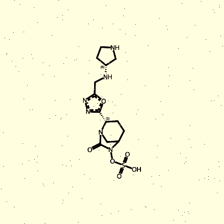 O=C1N(OS(=O)(=O)O)C2CC[C@@H](c3nnc(CN[C@@H]4CCNC4)o3)N1C2